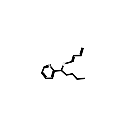 C=CC=COC(CCCC)c1ccccn1